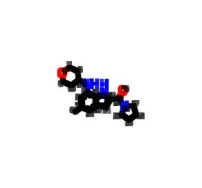 Cc1cc(NC2CCOCC2)c2[nH]c(C(=O)N3CCCC3)cc2c1